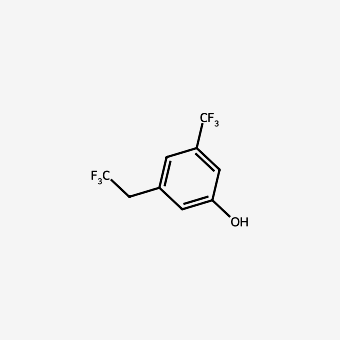 Oc1cc(CC(F)(F)F)cc(C(F)(F)F)c1